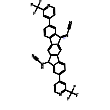 N#C/N=C1\c2cc(-c3ccnc(C(F)(F)F)c3)ccc2-c2cc3c(cc21)-c1ccc(-c2ccnc(C(F)(F)F)c2)cc1C3NC#N